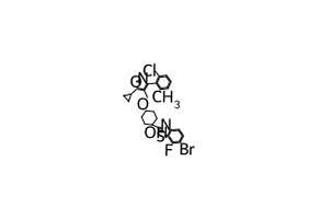 Cc1cccc(Cl)c1-c1noc(C2CC2)c1CO[C@H]1CC[C@](O)(c2nc3ccc(Br)c(F)c3s2)CC1